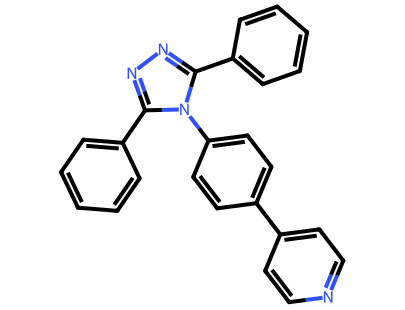 c1ccc(-c2nnc(-c3ccccc3)n2-c2ccc(-c3ccncc3)cc2)cc1